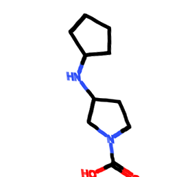 O=C(O)N1CCC(NC2CCCC2)C1